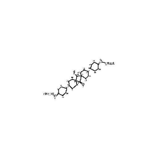 CCCCCCCO[C@H]1CC[C@H](C2CCC3(CC2)C(=O)C2(CCC([C@H]4CC[C@H](OCCCCCCC)CC4)CC2)C3F)CC1